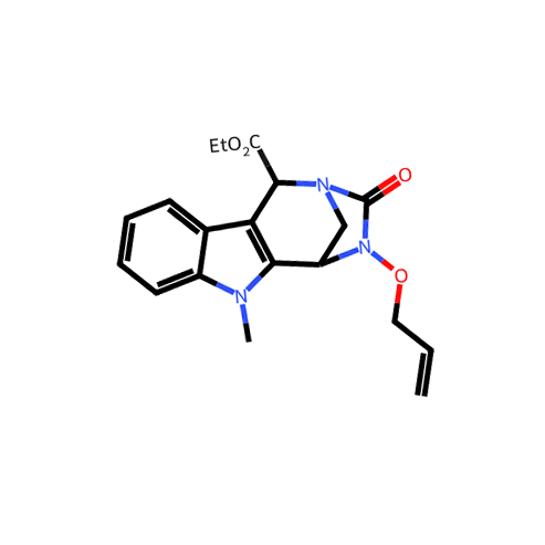 C=CCON1C(=O)N2CC1c1c(c3ccccc3n1C)C2C(=O)OCC